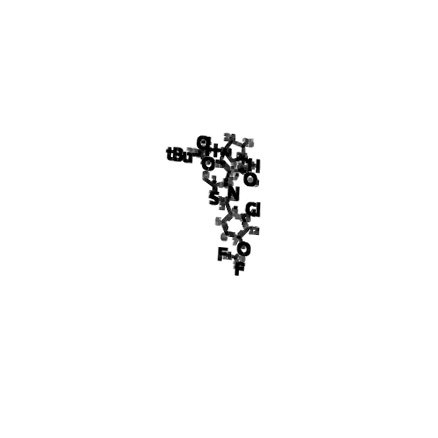 Cc1sc(-c2ccc(OC(F)F)cc2Cl)nc1C1=C(OC(=O)C(C)(C)C)[C@@H]2CC[C@@H](C2)C1=O